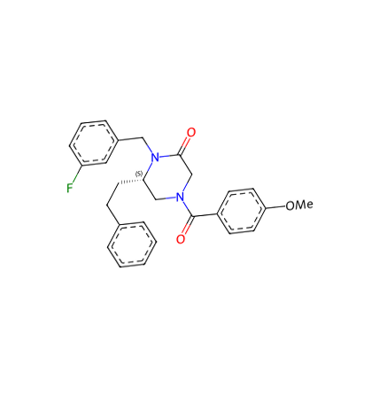 COc1ccc(C(=O)N2CC(=O)N(Cc3cccc(F)c3)[C@@H](CCc3ccccc3)C2)cc1